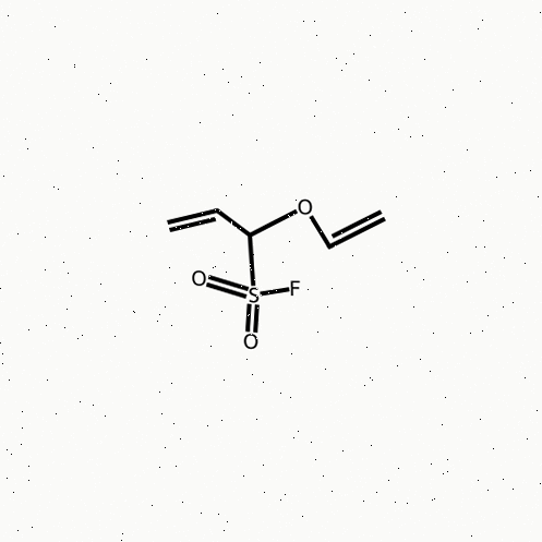 C=COC(C=C)S(=O)(=O)F